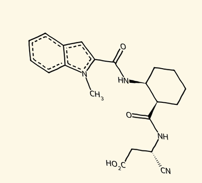 Cn1c(C(=O)N[C@H]2CCCC[C@H]2C(=O)N[C@H](C#N)CC(=O)O)cc2ccccc21